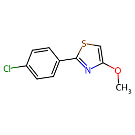 COc1csc(-c2ccc(Cl)cc2)n1